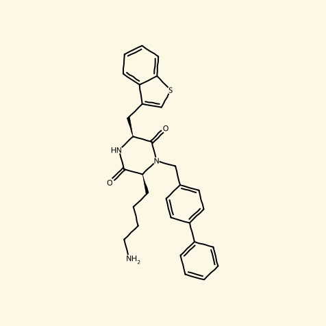 NCCCC[C@H]1C(=O)N[C@@H](Cc2csc3ccccc23)C(=O)N1Cc1ccc(-c2ccccc2)cc1